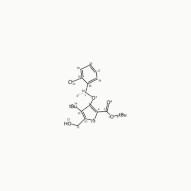 C[C@@H](Oc1c(C(=O)OC(C)(C)C)sc(CO)c1C(C)(C)C)c1ccccc1Cl